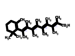 CC1=C(/C(C)=C(C)/C(C)=C(C)/C(C)=C(C)/C(C)=C(\C)C(=O)O)C(C)(C)CCC1